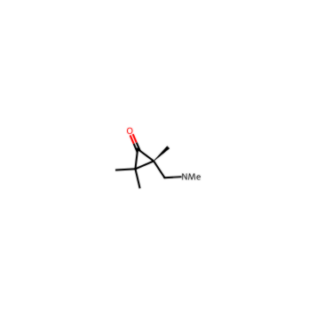 CNC[C@@]1(C)C(=O)C1(C)C